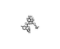 CC1CCC(c2cnco2)N(C(=O)C(=O)Nc2cnc(N)c3cnn(COCC[Si](C)(C)C)c23)C1